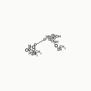 Cc1ncsc1-c1ccc(CNC(=O)[C@@H]2C[C@@H](O)CN2C(=O)[C@@H](NC(=O)CCOCCCCCCCOc2cc(F)c([C@@H]3c4[nH]c5ccccc5c4C[C@@H](C)N3CC(C)(C)F)c(F)c2)C(C)(C)C)cc1